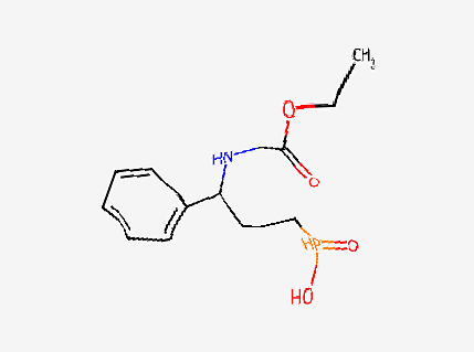 CCOC(=O)NC(CC[PH](=O)O)c1ccccc1